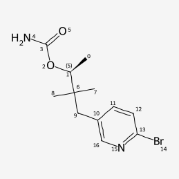 C[C@H](OC(N)=O)C(C)(C)Cc1ccc(Br)nc1